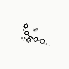 CN1CCCN(C2CCC(n3cc(-c4ccc(Oc5ccccc5)cc4)c4c(N)ncnc43)CC2)CC1.Cl.Cl